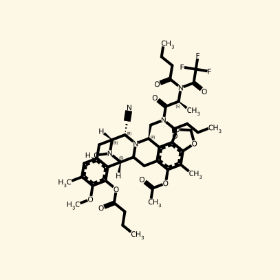 CCCC(=O)Oc1c(OC)c(C)cc2c1[C@H]1C3Cc4c(OC(C)=O)c(C)c5c(c4[C@H](CN(C(=O)CCC)C(=O)[C@H](C)N(C(=O)CCC)C(=O)C(F)(F)F)N3[C@@H](C#N)[C@@H](C2)N1C)OCO5